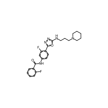 O=C(Nc1ccc(-c2nnc(NCCCN3CCCCC3)o2)c(F)c1)c1ccccc1F